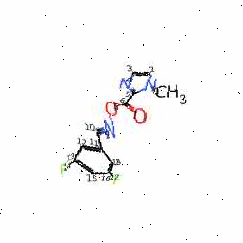 Cn1ccnc1C(=O)ON=Cc1cc(F)cc(F)c1